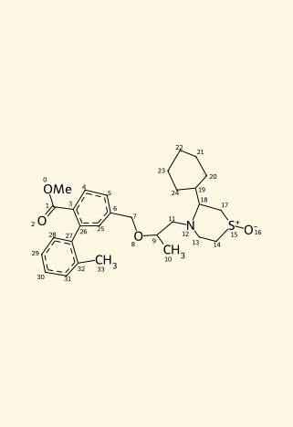 COC(=O)c1ccc(COC(C)CN2CC[S+]([O-])CC2C2CCCCC2)cc1-c1ccccc1C